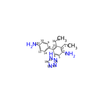 CCc1c(N)ccc(-c2ccc(N)cc2)c1CC.c1nnn[nH]1